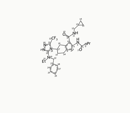 CCCC(=O)Nc1sc2c(c1C(=O)NCC1CC1)CC(n1c(N(CC)Cc3ccccc3)nnc1C(F)(F)F)CC2